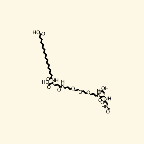 O=CNCC(=O)N[C@@H](CC(=O)O)C(=O)NCCCOCCOCCOCCCNC(=O)CC[C@H](NC(=O)CCCCCCCCCCCCCCCCC(=O)O)C(=O)O